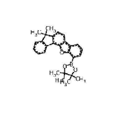 CC1(C)c2ccccc2-c2c1ccc1c2oc2c(B3OC(C)(C)C(C)(C)O3)cccc21